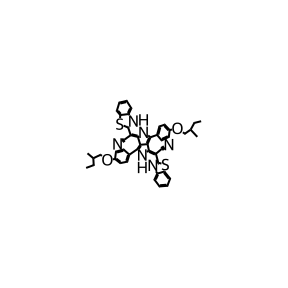 CCC(C)COc1ccc(-c2[nH]/c(=C(/C#N)c3nc4ccccc4s3)c3c(-c4ccc(OCC(C)CC)cc4)[nH]/c(=C(/C#N)c4nc5ccccc5s4)c23)cc1